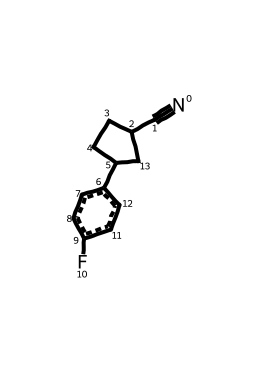 N#CC1CCC(c2ccc(F)cc2)C1